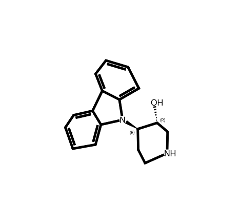 O[C@@H]1CNCC[C@H]1n1c2ccccc2c2ccccc21